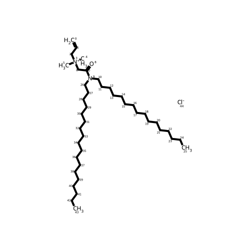 C=CC[N+](C)(C)CC(=O)N(CCCCCCCCCCCCCCCC)CCCCCCCCCCCCCCCCCC.[Cl-]